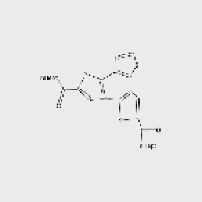 CCCCCCCC(=O)c1cc2c(s1)c1ccsc1c1cc(C(=O)CCCCCCC)sc12